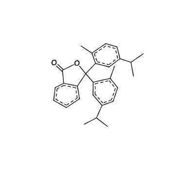 Cc1ccc(C(C)C)cc1C1(c2cc(C(C)C)ccc2C)OC(=O)c2ccccc21